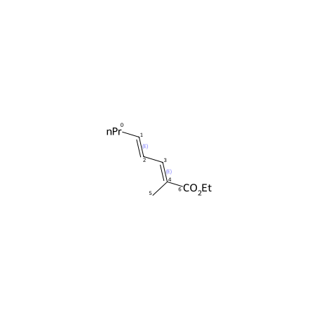 CCC/C=C/C=C(\C)C(=O)OCC